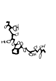 C=CC(=O)C(O)CC(Cl)C(O)COC(=O)c1ccccc1C(=O)OCC(O)C(Cl)CC(O)C(=O)C=C